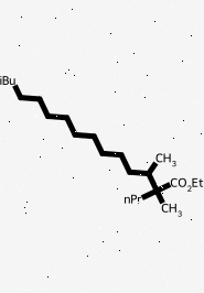 CCCC(C)(C(=O)OCC)C(C)CCCCCCCCCC(C)CC